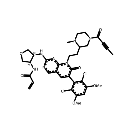 C=CC(=O)N[C@H]1COC[C@H]1Nc1ncc2cc(-c3c(Cl)c(OC)cc(OC)c3Cl)c(=O)n(CCC3CN(C(=O)C#CC)CCN3C)c2n1